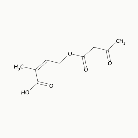 CC(=O)CC(=O)OCC=C(C)C(=O)O